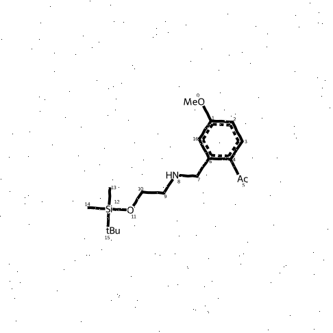 COc1ccc(C(C)=O)c(CNCCO[Si](C)(C)C(C)(C)C)c1